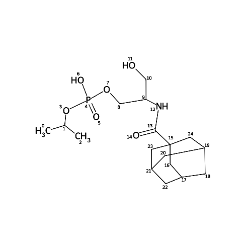 CC(C)OP(=O)(O)OCC(CO)NC(=O)C12CC3CC(CC(C3)C1)C2